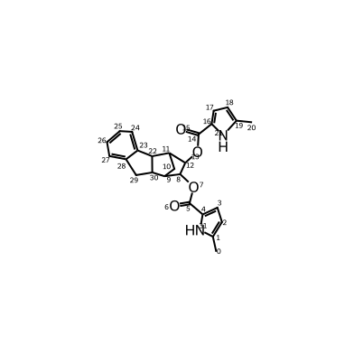 Cc1ccc(C(=O)OC2C3CC(C2OC(=O)c2ccc(C)[nH]2)C2c4ccccc4CC32)[nH]1